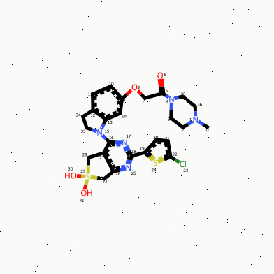 CN1CCN(C(=O)COc2ccc3c(c2)N(c2nc(-c4ccc(Cl)s4)nc4c2CS(O)(O)C4)CC3)CC1